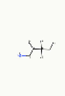 CCC(C)(C)C(C)C[NH]